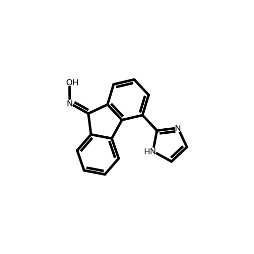 ON=C1c2ccccc2-c2c1cccc2-c1ncc[nH]1